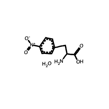 NC(Cc1ccc([N+](=O)[O-])cc1)C(=O)O.O